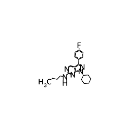 CCCCNc1ncc2c(-c3ccc(F)cc3)nn(C3CCCCC3)c2n1